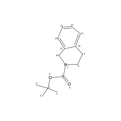 CC(C)(C)OC(=O)N1CCc2c[c]ccc2C1